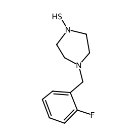 Fc1ccccc1CN1CCN(S)CC1